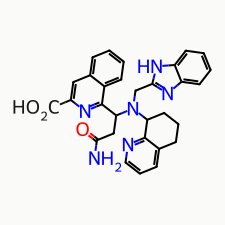 NC(=O)CC(c1nc(C(=O)O)cc2ccccc12)N(Cc1nc2ccccc2[nH]1)C1CCCc2cccnc21